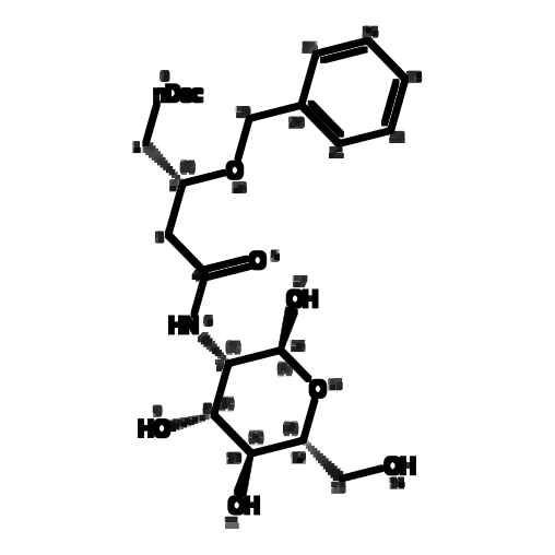 CCCCCCCCCCC[C@@H](CC(=O)N[C@H]1[C@@H](O)[C@H](O)[C@@H](CO)O[C@@H]1O)OCc1ccccc1